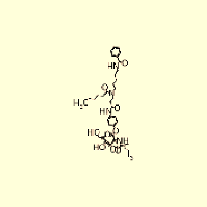 CCCCCC(=O)N(CCCCCNC(=O)c1ccccc1)CCC(=O)Nc1ccc(O[C@@H]2O[C@H](CO)[C@H](O)[C@H](O)[C@H]2NC(C)=O)cc1